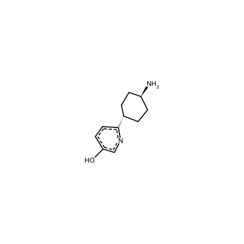 N[C@H]1CC[C@H](c2ccc(O)cn2)CC1